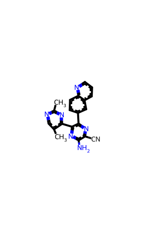 Cc1ncc(C)c(-c2nc(N)c(C#N)nc2-c2ccc3ncccc3c2)n1